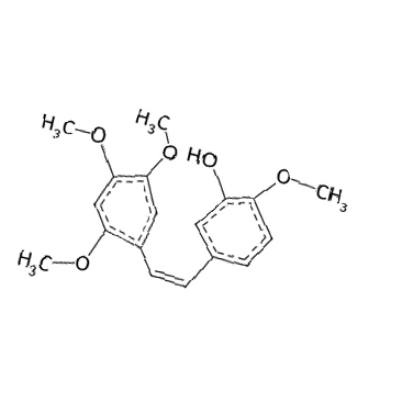 COc1ccc(/C=C\c2cc(OC)c(OC)cc2OC)cc1O